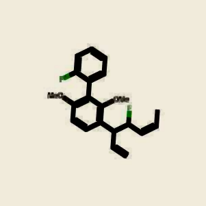 C=CC(c1ccc(OC)c(-c2ccccc2F)c1OC)C(F)/C=C\C